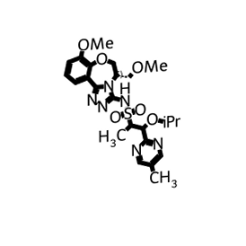 COC[C@H]1COc2c(OC)cccc2-c2nnc(NS(=O)(=O)C(C)C(OC(C)C)c3ncc(C)cn3)n21